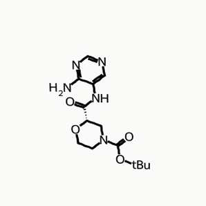 CC(C)(C)OC(=O)N1CCO[C@H](C(=O)Nc2cncnc2N)C1